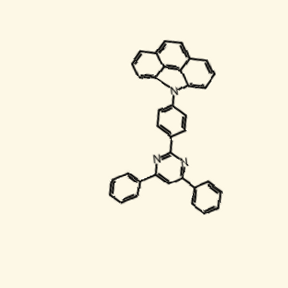 c1ccc(-c2cc(-c3ccccc3)nc(-c3ccc(-n4c5cccc6ccc7cccc4c7c65)cc3)n2)cc1